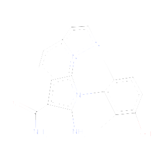 Cc1ccc(O)c(C)c1-n1c(N)c(C(N)=O)c2ccc3ccnn3c21